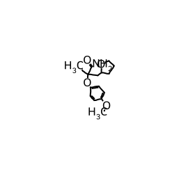 CCC(CC1CCCO1)(Oc1ccc(OC)cc1)C(N)=O